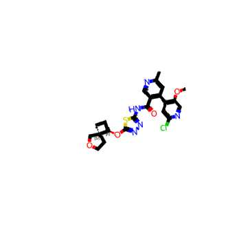 COc1cnc(Cl)cc1-c1cc(C)ncc1C(=O)Nc1nnc(O[C@@H]2CC[C@@]23CCOC3)s1